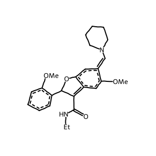 CCNC(=O)C1=c2cc(OC)c(=CN3CCCCC3)cc2OC1c1ccccc1OC